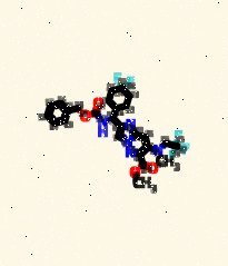 COC(=O)c1nn2cc([C@@H](NC(=O)OCc3ccccc3)C3CCC(F)(F)CC3)nc2cc1N(C)CC(F)(F)F